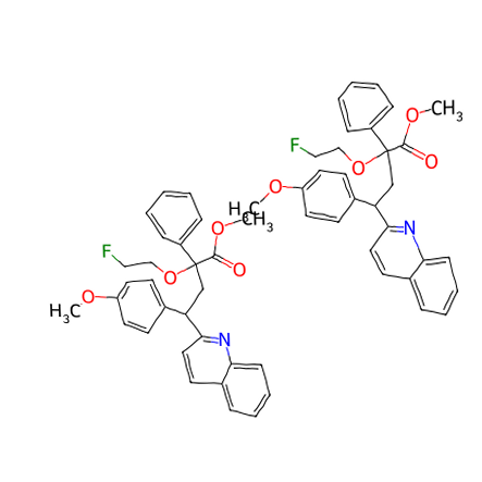 COC(=O)C(CC(c1ccc(OC)cc1)c1ccc2ccccc2n1)(OCCF)c1ccccc1.COC(=O)C(CC(c1ccc(OC)cc1)c1ccc2ccccc2n1)(OCCF)c1ccccc1